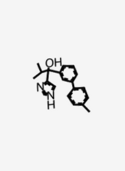 Cc1ccc(-c2cccc(C(O)(c3c[nH]cn3)C(C)C)c2)cc1